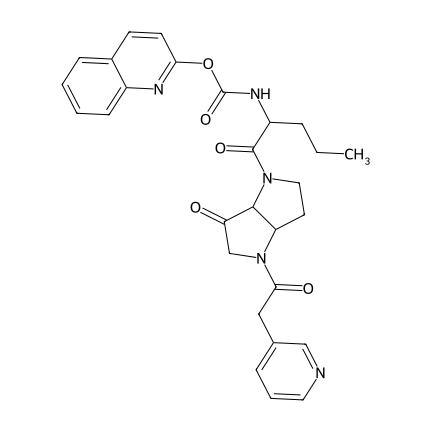 CCCC(NC(=O)Oc1ccc2ccccc2n1)C(=O)N1CCC2C1C(=O)CN2C(=O)Cc1cccnc1